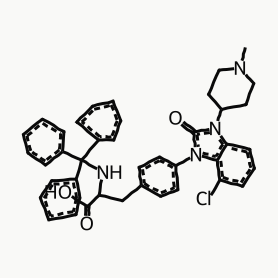 CN1CCC(n2c(=O)n(-c3ccc(CC(NC(c4ccccc4)(c4ccccc4)c4ccccc4)C(=O)O)cc3)c3c(Cl)cccc32)CC1